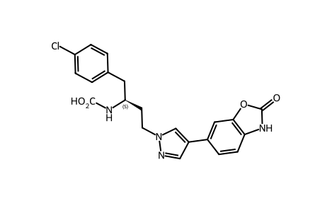 O=C(O)N[C@H](CCn1cc(-c2ccc3[nH]c(=O)oc3c2)cn1)Cc1ccc(Cl)cc1